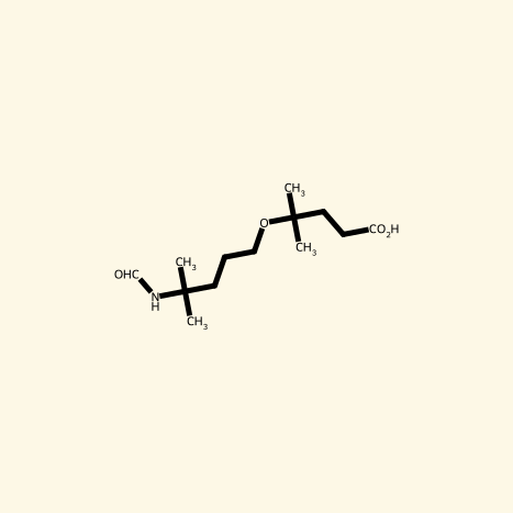 CC(C)(CCCOC(C)(C)CCC(=O)O)NC=O